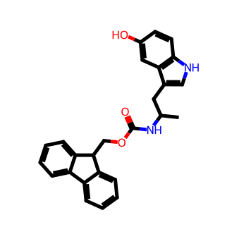 CC(Cc1c[nH]c2ccc(O)cc12)NC(=O)OCC1c2ccccc2-c2ccccc21